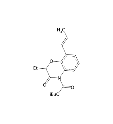 CC=Cc1cccc2c1OC(CC)C(=O)N2C(=O)OCC(C)C